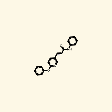 O=C(/C=C/c1ccc(Oc2ccccc2)nc1)Nc1ccccc1